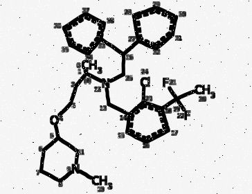 C[C@H](CCOC1CCCN(C)C1)N(Cc1cccc(C(C)(F)F)c1Cl)CC(c1ccccc1)c1ccccc1